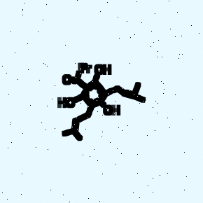 CC(C)=CCc1c(O)c(CC=C(C)C)c(O)c(C(=O)C(C)C)c1O